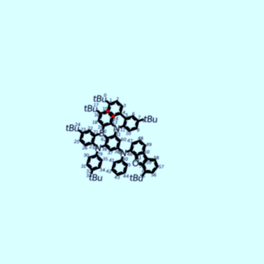 CC(C)(C)c1ccc(-c2cc(C(C)(C)C)ccc2N2c3ccc(C(C)(C)C)cc3B3c4cc(C(C)(C)C)ccc4N(c4ccc(C(C)(C)C)cc4)c4cc(N(c5ccccc5)c5cccc6c5oc5c(C(C)(C)C)cccc56)cc2c43)cc1